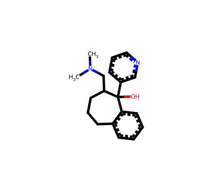 CN(C)CC1CCCc2ccccc2C1(O)c1cccnc1